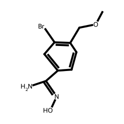 COCc1ccc(/C(N)=N/O)cc1Br